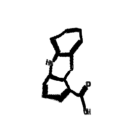 O=C(O)c1cccc2c1Sc1ccccc1N2